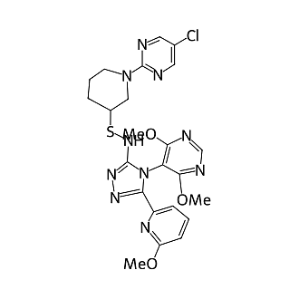 COc1cccc(-c2nnc(NSC3CCCN(c4ncc(Cl)cn4)C3)n2-c2c(OC)ncnc2OC)n1